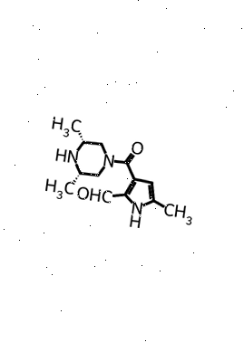 Cc1cc(C(=O)N2C[C@@H](C)N[C@@H](C)C2)c(C=O)[nH]1